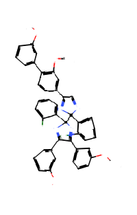 COc1cccc(C2=NC(c3ccccc3Cl)(C3(c4ccccc4Cl)N=CC(c4ccc(-c5cccc(OC)c5)c(OC)c4)=N3)N=C2c2cccc(OC)c2)c1